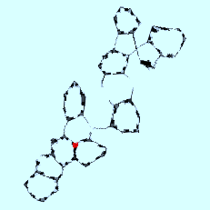 c1ccc(N(c2ccccc2-c2ccc3c(c2)oc2ccccc23)c2cccc3c2Oc2ccc4c(c2O3)C2(c3ccccc3-c3ccccc32)c2ccccc2-4)cc1